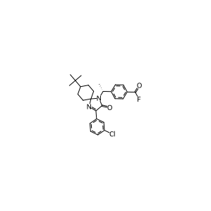 C[C@H](c1ccc(C(=O)F)cc1)N1C(=O)C(c2cccc(Cl)c2)=NC12CCC(C(C)(C)C)CC2